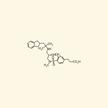 Cc1cc(CCC(=O)O)ccc1S(=O)(=O)N(C)C[C@H](O)CNC(C)(C)CC1Cc2ccccc2C1